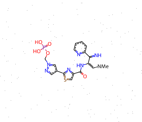 CN/C=C(/NC(=O)c1csc(-c2cnn(COP(=O)(O)O)c2)n1)C(=N)c1ccccn1